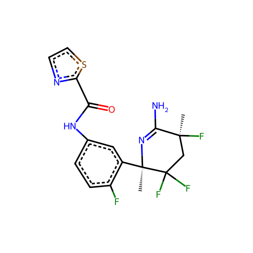 C[C@]1(F)CC(F)(F)[C@@](C)(c2cc(NC(=O)c3nccs3)ccc2F)N=C1N